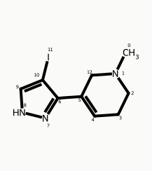 CN1CCC=C(c2n[nH]cc2I)C1